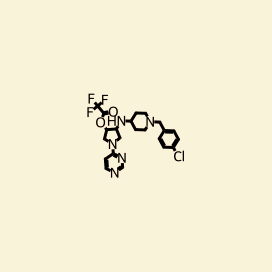 O=C(OC1CN(c2ccncn2)CC1NC1CCN(Cc2ccc(Cl)cc2)CC1)C(F)(F)F